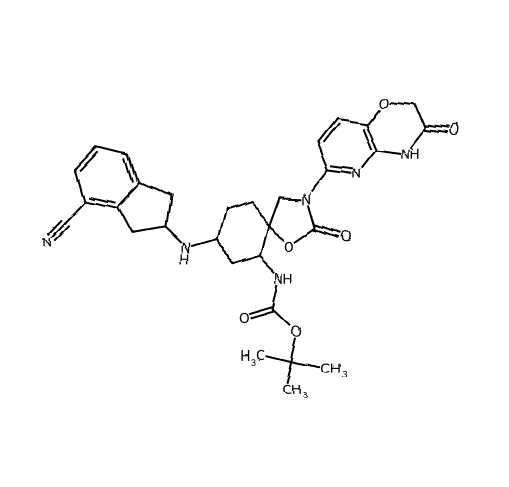 CC(C)(C)OC(=O)NC1CC(NC2Cc3cccc(C#N)c3C2)CCC12CN(c1ccc3c(n1)NC(=O)CO3)C(=O)O2